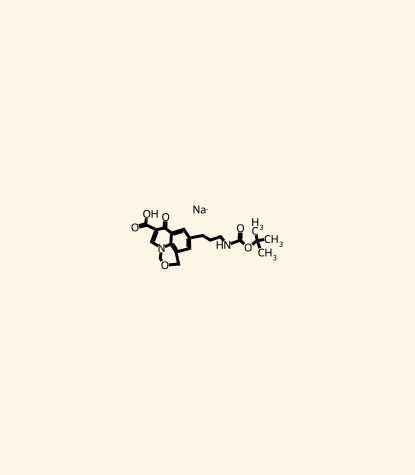 CC(C)(C)OC(=O)NCCCc1cc2c3c(c1)c(=O)c(C(=O)O)cn3COC2.[Na]